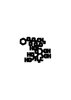 CC(OC(=O)OC1CCCCC1)OC(=O)C1(O)CC(O)C([C@@H](C)O)C(C[C@H](O)CO)O1